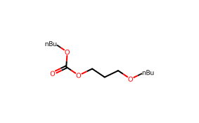 CCCCOCCCOC(=O)OCCCC